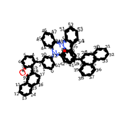 c1cc(-c2cccc3oc4c5ccccc5ccc4c23)cc(N(c2ccc(-c3cc4ccccc4c4ccccc34)cc2)c2ccccc2-n2c3ccccc3c3ccccc32)c1